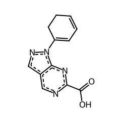 O=C(O)c1ncc2cnn(C3=CC=CCC3)c2n1